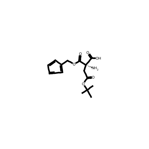 CC(C)(C)OC(=O)C[C@](N)(C(=O)O)C(=O)OCc1ccccc1